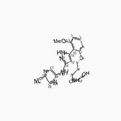 COc1cccc(OCCCN)c1-c1cc(Nc2cnc(C#N)cn2)n[nH]1.O=CO